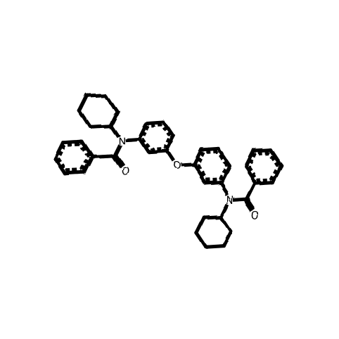 O=C(c1ccccc1)N(c1cccc(Oc2cccc(N(C(=O)c3ccccc3)C3CCCCC3)c2)c1)C1CCCCC1